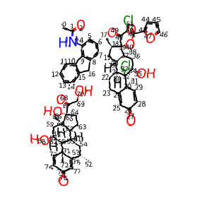 CC(=O)Nc1cccc2c1-c1ccccc1C2.C[C@@H]1C[C@H]2[C@@H]3CCC4=CC(=O)C=C[C@]4(C)[C@@]3(Cl)[C@@H](O)C[C@]2(C)[C@@]1(OC(=O)c1ccco1)C(=O)CCl.C[C@H]1C[C@@H]2[C@H]([C@@H](O)C[C@@]3(C)[C@H]2CC[C@]3(O)C(=O)CO)[C@@]2(C)C=CC(=O)C=C12